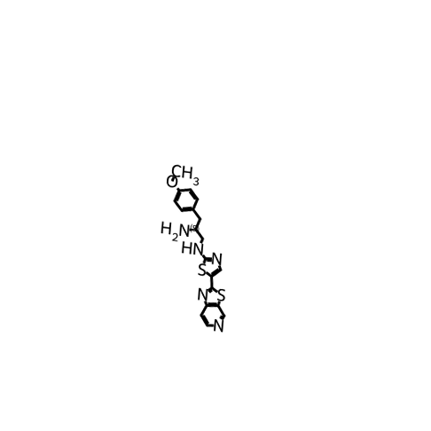 COc1ccc(C[C@H](N)CNc2ncc(-c3nc4ccncc4s3)s2)cc1